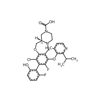 Cc1ccnc(C(C)C)c1Oc1c(F)c(-c2c(O)cccc2F)c(Cl)c2c1CN1CCN(C(=O)O)C[C@H]1CO2